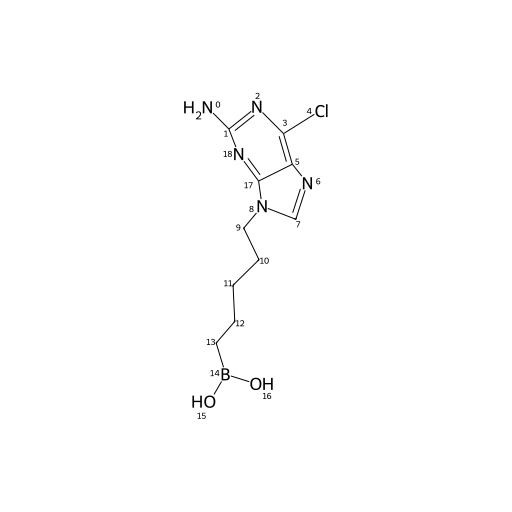 Nc1nc(Cl)c2ncn(CCCCCB(O)O)c2n1